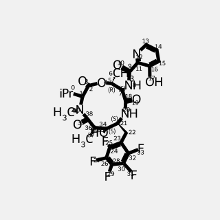 CC(C)C1C(=O)O[C@H](C)[C@H](NC(=O)c2ncccc2O)C(=O)N[C@@H](Cc2c(F)c(F)c(F)c(F)c2F)[C@@H](O)[C@@H](C)C(=O)N1C